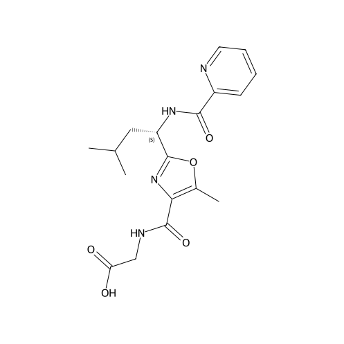 Cc1oc([C@H](CC(C)C)NC(=O)c2ccccn2)nc1C(=O)NCC(=O)O